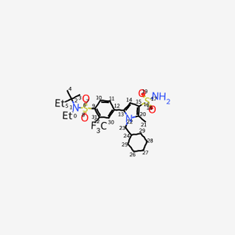 CCN(C(C)(C)CC)S(=O)(=O)c1ccc(-c2cc(S(N)(=O)=O)c(C)n2CC2CCCCC2)cc1C(F)(F)F